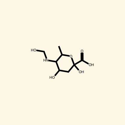 CC1OC(O)(C(=O)O)CC(O)C1NCO